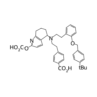 CC(C)(C)c1ccc(COc2ccccc2CCN(CCc2ccc(C(=O)O)cc2)C2CCCc3nc(OC(=O)O)ccc32)cc1